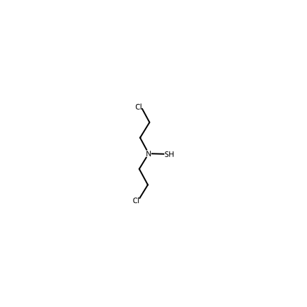 SN(CCCl)CCCl